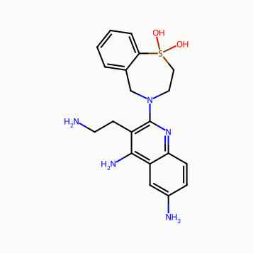 NCCc1c(N2CCS(O)(O)c3ccccc3C2)nc2ccc(N)cc2c1N